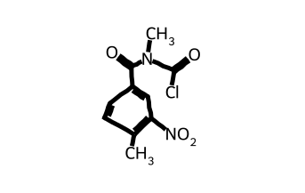 Cc1ccc(C(=O)N(C)C(=O)Cl)cc1[N+](=O)[O-]